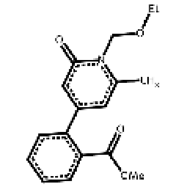 CCOCn1c(C)cc(-c2ccccc2C(=O)OC)cc1=O